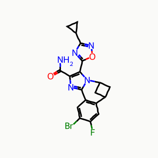 NC(=O)c1nc2n(c1-c1nc(C3CC3)no1)C1CC(C1)c1cc(F)c(Br)cc1-2